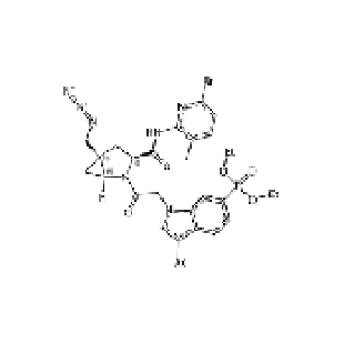 CCOP(=O)(OCC)c1ccc2c(C(C)=O)cn(CC(=O)N3[C@H](C(=O)Nc4nc(Br)ccc4C)C[C@@]4(CN=[N+]=[N-])C[C@@H]34)c2c1